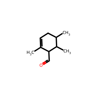 CC1=CCC(C)C(C)C1C=O